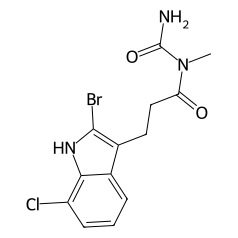 CN(C(N)=O)C(=O)CCc1c(Br)[nH]c2c(Cl)cccc12